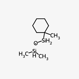 C[SiH](C)O[SiH2]C1(C)CCCCC1